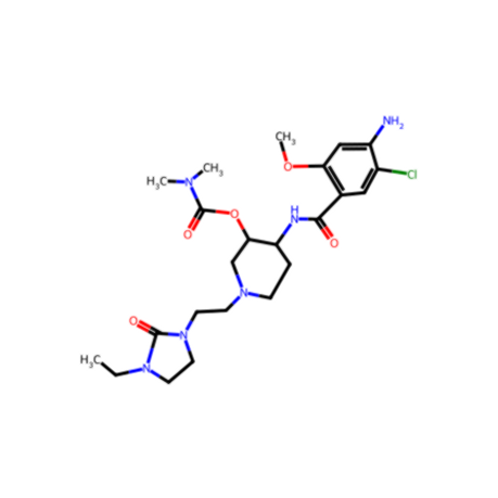 CCN1CCN(CCN2CCC(NC(=O)c3cc(Cl)c(N)cc3OC)C(OC(=O)N(C)C)C2)C1=O